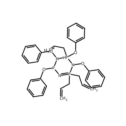 C=CCP1(CC=C)=NP(Oc2ccccc2)N(Oc2ccccc2)[PH](CC=C)(Oc2ccccc2)N1Oc1ccccc1